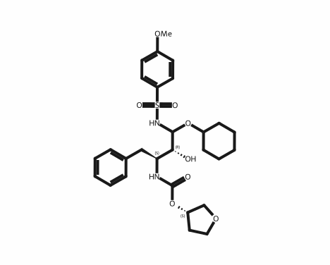 COc1ccc(S(=O)(=O)NC(OC2CCCCC2)[C@H](O)[C@H](Cc2ccccc2)NC(=O)O[C@H]2CCOC2)cc1